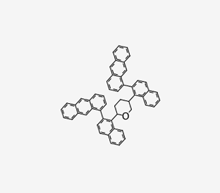 c1ccc2cc3c(-c4ccc5ccccc5c4C4CCC(c5c(-c6cccc7cc8ccccc8cc67)ccc6ccccc56)OC4)cccc3cc2c1